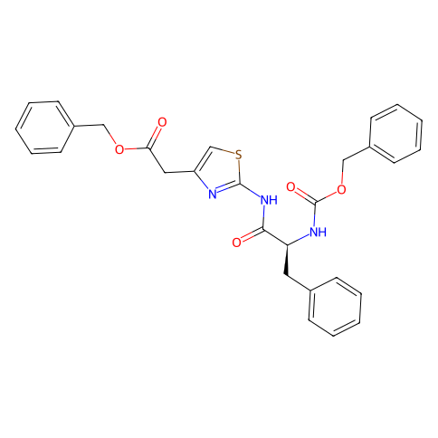 O=C(Cc1csc(NC(=O)[C@H](Cc2ccccc2)NC(=O)OCc2ccccc2)n1)OCc1ccccc1